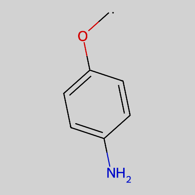 [CH2]Oc1ccc(N)cc1